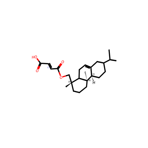 CC(C)C1CC[C@@H]2C(=CCC3[C@@](C)(COC(=O)/C=C/C(=O)O)CCC[C@@]32C)C1